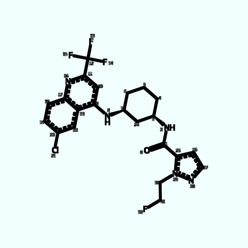 O=C(N[C@@H]1CCC[C@H](Nc2cc(C(F)(F)F)nc3ccc(Cl)cc23)C1)c1ccnn1CCF